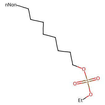 CCCCCCCCCCCCCCCCCOS(=O)(=O)OCC